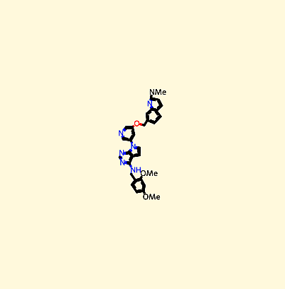 CNc1ccc2ccc(COc3cncc(-n4ccc5c(NCc6ccc(OC)cc6OC)ncnc54)c3)cc2n1